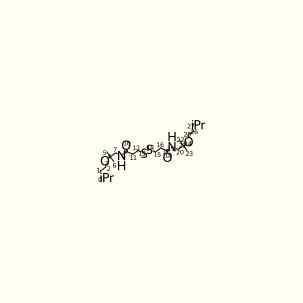 CC(C)CCOC(C)(C)CNC(=O)CCSSCCC(=O)NCC(C)(C)OCCC(C)C